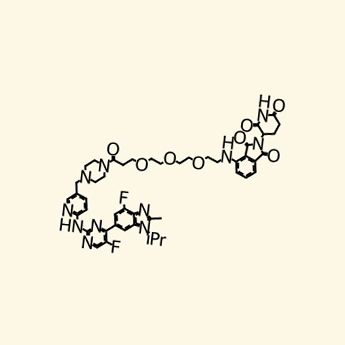 Cc1nc2c(F)cc(-c3nc(Nc4ccc(CN5CCN(C(=O)CCOCCOCCOCCNc6cccc7c6C(=O)N(C6CCC(=O)NC6=O)C7=O)CC5)cn4)ncc3F)cc2n1C(C)C